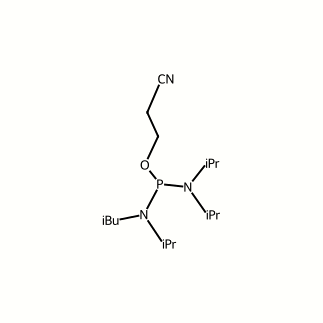 CCC(C)N(C(C)C)P(OCCC#N)N(C(C)C)C(C)C